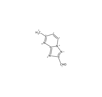 Cc1ccn2nc(C=O)nc2n1